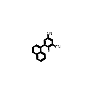 N#Cc1cc(C#N)c(F)c(-c2cccc3ccccc23)c1